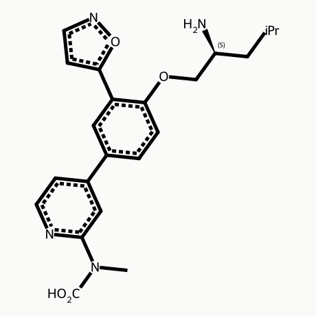 CC(C)C[C@H](N)COc1ccc(-c2ccnc(N(C)C(=O)O)c2)cc1-c1ccno1